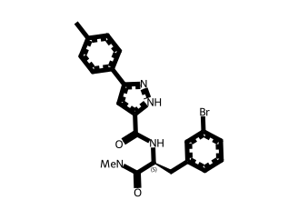 CNC(=O)[C@H](Cc1cccc(Br)c1)NC(=O)c1cc(-c2ccc(C)cc2)n[nH]1